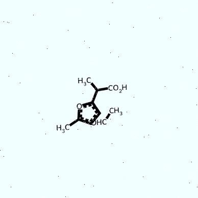 CC=O.Cc1ccc(C(C)C(=O)O)o1